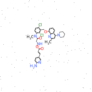 Cc1cc(N2CCCCC2)c2cccc(OCc3c(Cl)ccc(N(C)C(=O)CNOC(=O)C=Cc4ccc(N)nc4)c3Cl)c2n1